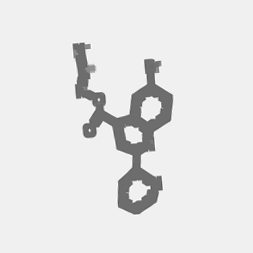 [N-]=[N+]=NOC(=O)c1cc(-c2ccccn2)nc2ccc(Br)cc12